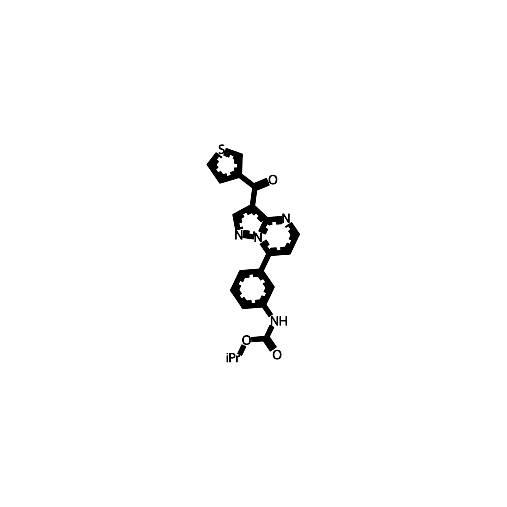 CC(C)OC(=O)Nc1cccc(-c2ccnc3c(C(=O)c4ccsc4)cnn23)c1